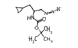 CC(C)(C)OC(=O)NC(CN=[N+]=[N-])CC1CC1